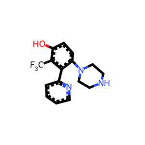 Oc1ccc(N2CCNCC2)c(-c2ccccn2)c1C(F)(F)F